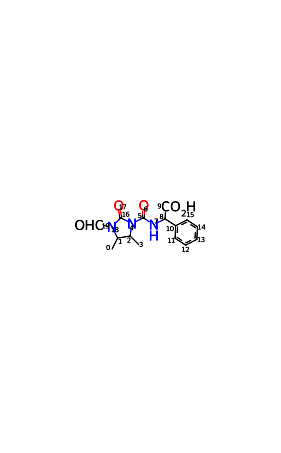 CC1C(C)N(C(=O)NC(C(=O)O)c2ccccc2)C(=O)N1C=O